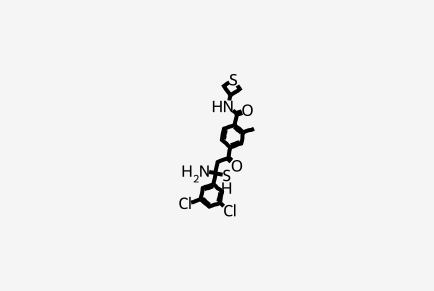 Cc1cc(C(=O)CC(N)(S)c2cc(Cl)cc(Cl)c2)ccc1C(=O)NC1CSC1